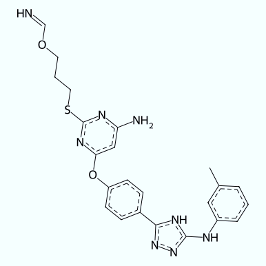 Cc1cccc(Nc2nnc(-c3ccc(Oc4cc(N)nc(SCCCOC=N)n4)cc3)[nH]2)c1